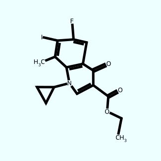 CCOC(=O)c1cn(C2CC2)c2c(C)c(I)c(F)cc2c1=O